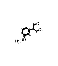 COc1cccc(C(C=O)C=O)c1